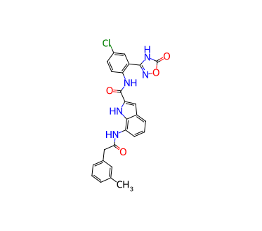 Cc1cccc(CC(=O)Nc2cccc3cc(C(=O)Nc4ccc(Cl)cc4-c4noc(=O)[nH]4)[nH]c23)c1